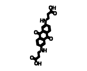 O=C(O)CCNc1ccc2c(c1)C(=O)c1ccc(NCCC(=O)O)cc1C2=O